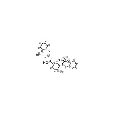 CS(=O)(=O)N(Cc1ccccc1)c1cc(C(O)CN(CCBr)Cc2ccccc2)ccc1Br